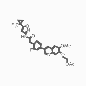 COc1cc2cc(-c3ccc(CC(=O)Nc4cc(C5(C(F)(F)F)CC5)on4)c(F)c3)cnc2cc1OCCOC(C)=O